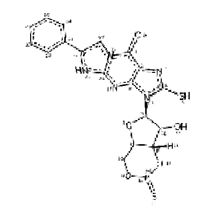 O=c1c2nc(S)n([C@@H]3OC4CO[PH](=S)O[C@H]4C3O)c2nc2[nH]c(-c3ccccc3)cn12